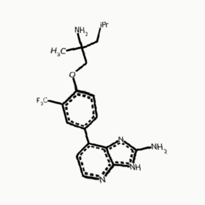 CC(C)CC(C)(N)COc1ccc(-c2ccnc3[nH]c(N)nc23)cc1C(F)(F)F